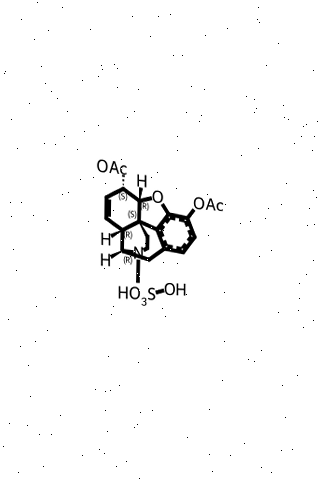 CC(=O)Oc1ccc2c3c1O[C@H]1[C@@H](OC(C)=O)C=C[C@H]4[C@@H](C2)N(C)CC[C@@]341.O=S(=O)(O)O